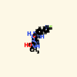 CC(O)Nc1cnc(C(=O)Nc2cc(-c3ccc(F)nc3)ccc2N)cn1